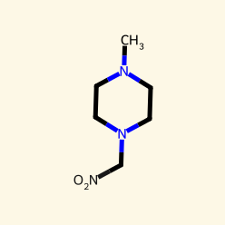 CN1CCN(C[N+](=O)[O-])CC1